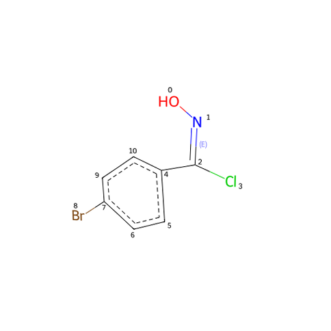 O/N=C(/Cl)c1ccc(Br)cc1